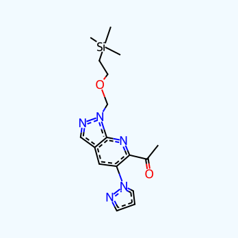 CC(=O)c1nc2c(cnn2COCC[Si](C)(C)C)cc1-n1cccn1